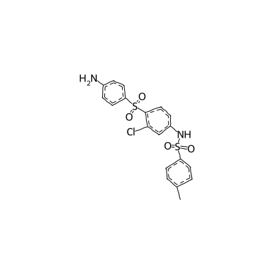 Cc1ccc(S(=O)(=O)Nc2ccc(S(=O)(=O)c3ccc(N)cc3)c(Cl)c2)cc1